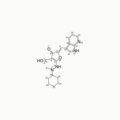 CN(NC1=C(C(=O)O)C(=O)/C(=C/c2c[nH]c3ncccc23)O1)C1CCCCC1